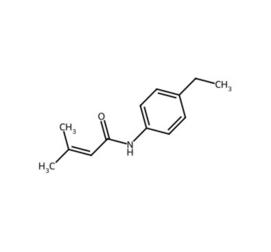 CCc1ccc(NC(=O)C=C(C)C)cc1